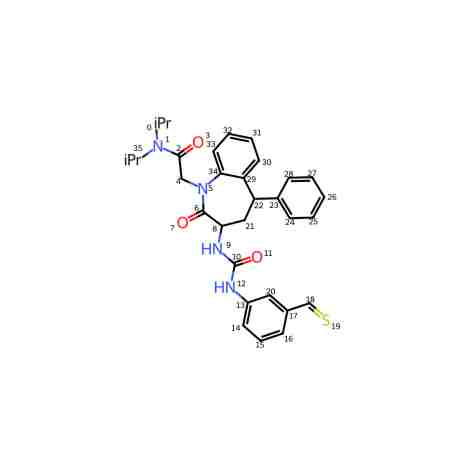 CC(C)N(C(=O)CN1C(=O)C(NC(=O)Nc2cccc(C=S)c2)CC(c2ccccc2)c2ccccc21)C(C)C